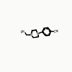 C[C](C)CN1CCN(c2ccc(C#N)cc2)CC1